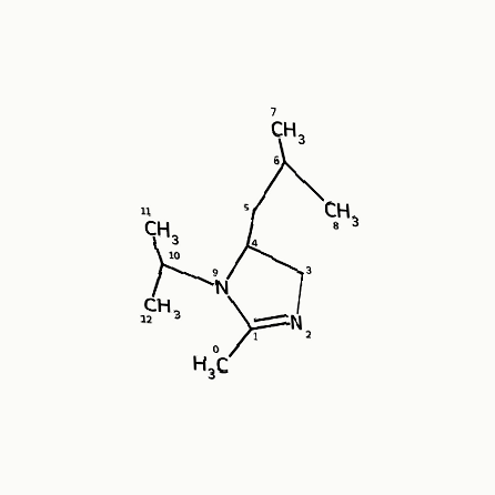 CC1=NCC(CC(C)C)N1C(C)C